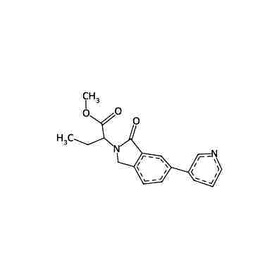 CCC(C(=O)OC)N1Cc2ccc(-c3cccnc3)cc2C1=O